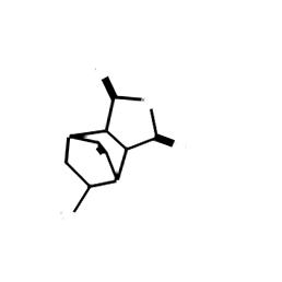 CC(=O)C1CC2C=CC1C1C(=O)OC(=O)C21